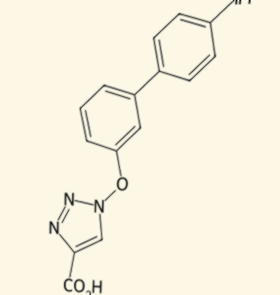 CC(C)c1ccc(-c2cccc(On3cc(C(=O)O)nn3)c2)cc1